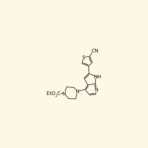 CCOC(=O)N1CCN(c2ccnc3[nH]c(-c4csc(C#N)c4)cc23)CC1